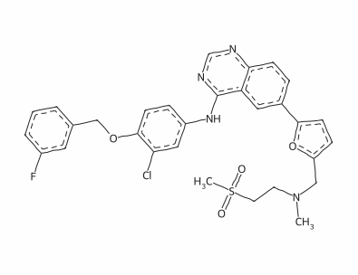 CN(CCS(C)(=O)=O)Cc1ccc(-c2ccc3ncnc(Nc4ccc(OCc5cccc(F)c5)c(Cl)c4)c3c2)o1